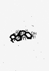 C/C=C1/CCC[C@H]2[C@@H]3CC[C@H]4C[C@@](O)(CC)CC[C@@H]4[C@H]3CC[C@]12C